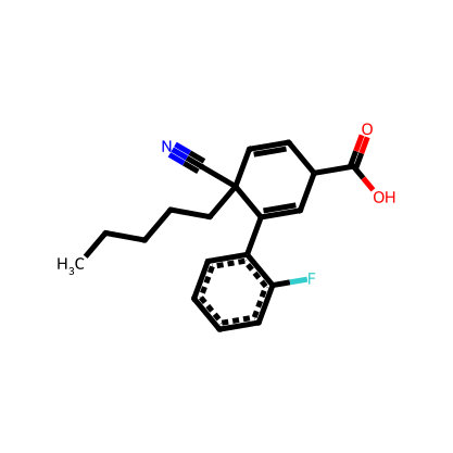 CCCCCC1(C#N)C=CC(C(=O)O)C=C1c1ccccc1F